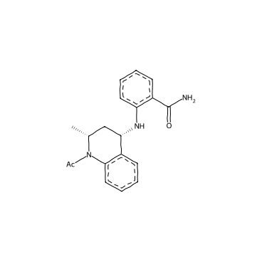 CC(=O)N1c2ccccc2[C@@H](Nc2ccccc2C(N)=O)C[C@H]1C